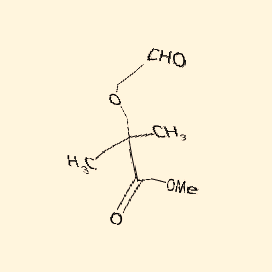 COC(=O)C(C)(C)OC=O